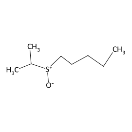 CCCCC[S+]([O-])C(C)C